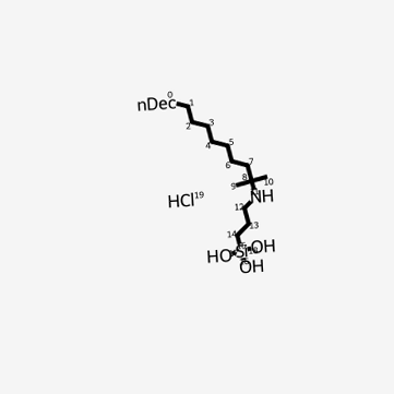 CCCCCCCCCCCCCCCCCC(C)(C)NCCC[Si](O)(O)O.Cl